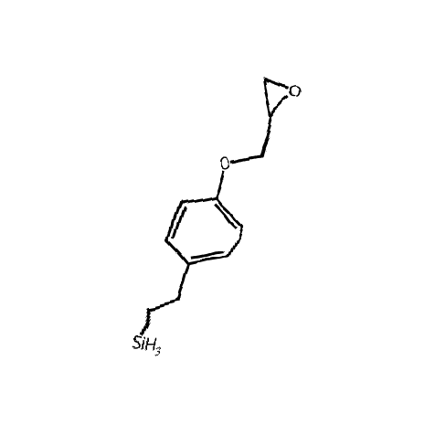 [SiH3]CCc1ccc(OCC2CO2)cc1